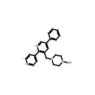 CCCN1CCN(Cc2cc(-c3ccccc3)cnc2-c2ccncc2)CC1